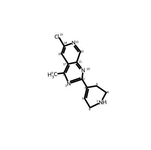 Cc1nc(C2=CCNCC2)nc2cnc(Cl)cc12